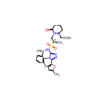 COC[C@@H]1CCCC(=O)N1C[C@@H](C)S(=O)(=O)Nc1nnc(-c2ccc(C)o2)n1-c1c(OC)cccc1OC